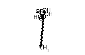 CCCCCCCCC=CCCCCCC=CC(=O)O[C@H]1[C@H](O)[C@@H](CO)OC(O)[C@@H]1O